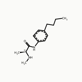 CCCCc1ccc(NC(=O)[C@H](C)NC)cc1